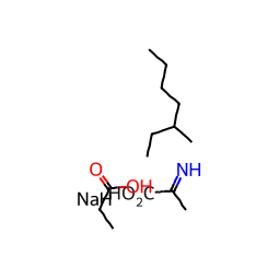 CC(=N)C(=O)O.CCC(=O)O.CCCCC(C)CC.[NaH]